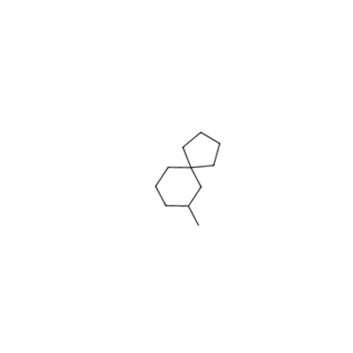 CC1CCCC2(CCCC2)C1